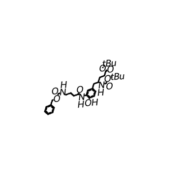 CC(C)(C)OC(=O)CCC(Cc1ccc(O)c(NC(=O)CCCNC(=O)OCc2ccccc2)c1)NC(=O)OC(C)(C)C